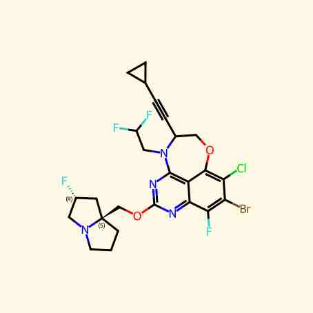 Fc1c(Br)c(Cl)c2c3c(nc(OC[C@@]45CCCN4C[C@H](F)C5)nc13)N(CC(F)F)C(C#CC1CC1)CO2